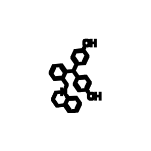 Oc1ccc(C(c2ccc(O)cc2)c2ccccc2CN2CCCc3ccccc32)cc1